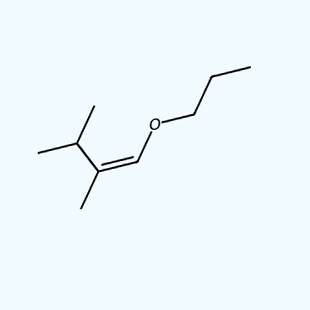 CCCO/C=C(/C)C(C)C